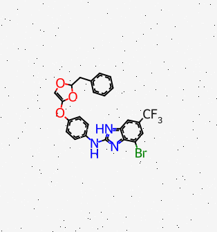 FC(F)(F)c1cc(Br)c2nc(Nc3ccc(OC4=COC(Cc5ccccc5)O4)cc3)[nH]c2c1